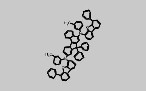 Cc1cccc(N(c2ccc3c(c2)C(c2ccccc2)(c2ccccc2)c2cc(N(c4cccc(C)c4)c4cccc5c4oc4c(-c6ccccc6)cccc45)c4ccccc4c2-3)c2cccc3c2oc2c(-c4ccccc4)cccc23)c1